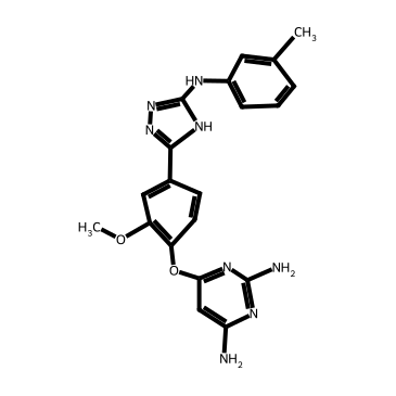 COc1cc(-c2nnc(Nc3cccc(C)c3)[nH]2)ccc1Oc1cc(N)nc(N)n1